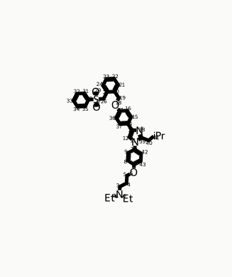 CCN(CC)CCCOc1ccc(-n2cc(-c3ccc(OCc4ccccc4CS(=O)(=O)c4ccccc4)cc3)nc2CC(C)C)cc1